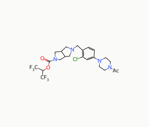 CC(=O)N1CCN(c2ccc(CN3CC4CN(C(=O)OC(C(F)(F)F)C(F)(F)F)CC4C3)c(Cl)c2)CC1